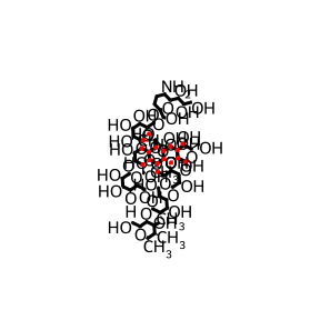 CC1C(O)[C@H](O[C@@H]2OC(CO)[C@H](O)C(O)[C@@H]2O)[C@H](CO)O[C@H]1O[C@@H]1C(O)[C@H](O)C(CO)O[C@@H]1OCC1O[C@@H](O[C@@H]2C(CO)O[C@@H](O[C@@H]3C(CO)O[C@@H](C)[C@@H](C)C3O)[C@@H](C)C2O)[C@H](O)C(O[C@H]2O[C@H](CO)[C@@H](O)C(O)C2O[C@@H]2OC(CO)[C@@H](O[C@@H]3OC(CO[C@]4(C(=O)O)CC[C@@H](N)C([C@H](O)C(O)CO)O4)[C@H](O)C(O)[C@@H]3O)C(O)[C@@H]2C)[C@@H]1O